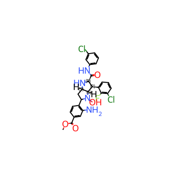 COC(=O)c1ccc(C2C[C@@H]3N[C@@H](C(=O)Nc4cccc(Cl)c4)[C@@H](c4cccc(Cl)c4F)[C@@H]3N2O)c(N)c1